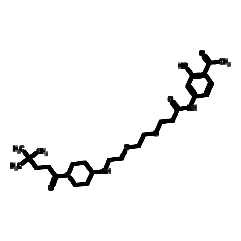 CC(=O)c1ccc(NC(=O)CCOCCOCCNC2CCN(C(=O)CCC(C)(C)C)CC2)cc1O